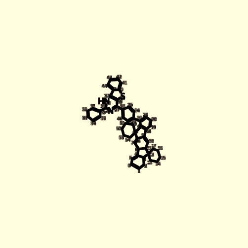 C1=CCC2C(=C1)C1C=C3C(=CC1C21CCCCC1)c1cccc(-c2ccc(C4=NC(c5ccccc5)Nc5c4sc4ccccc54)cc2)c1C31CCCCC1